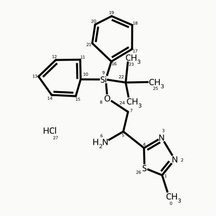 Cc1nnc(C(N)CO[Si](c2ccccc2)(c2ccccc2)C(C)(C)C)s1.Cl